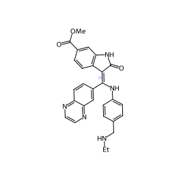 CCNCc1ccc(N/C(=C2\C(=O)Nc3cc(C(=O)OC)ccc32)c2ccc3nccnc3c2)cc1